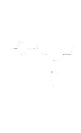 CCOC(=S)SC(CCC(=O)c1ccc(Cl)cc1)OC(=O)C(C)C